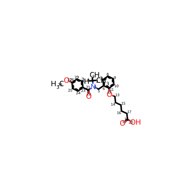 [2H]C(C)(C)N(Cc1ccccc1OCCCCCC(=O)O)C(=O)c1ccc(OC)cc1